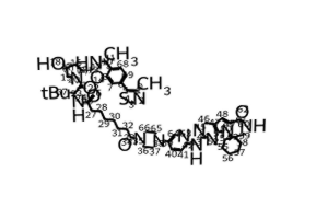 Cc1ncsc1-c1ccc(C(C)NC(=O)[C@@H]2C[C@@H](O)CN2C(=O)C(NC(=O)CCCCCCC(=O)N2CCN(c3ccc(Nc4ncc5cc6n(c5n4)C4(CCCCC4)CNC6=O)nc3)CC2)C(C)(C)C)cc1